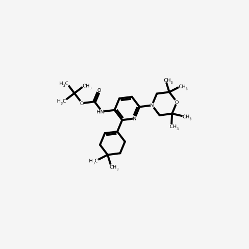 CC1(C)CC=C(c2nc(N3CC(C)(C)OC(C)(C)C3)ccc2NC(=O)OC(C)(C)C)CC1